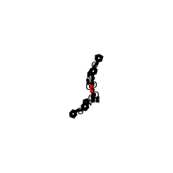 CN(C)C(Cn1ccc2cc(OCc3ccccc3)ccc21)OC(=O)/C=C/C(=O)OC(Cn1ccc2cc(OCc3ccccc3)ccc21)N(C)C